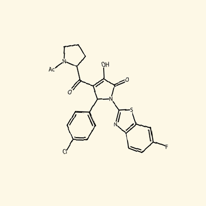 CC(=O)N1CCCC1C(=O)C1=C(O)C(=O)N(c2nc3ccc(F)cc3s2)C1c1ccc(Cl)cc1